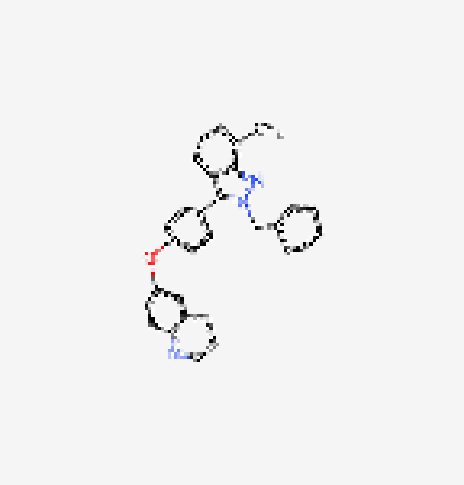 FC(F)(F)c1cccc2c(-c3ccc(Oc4ccc5ncccc5c4)cc3)n(Cc3ccccc3)nc12